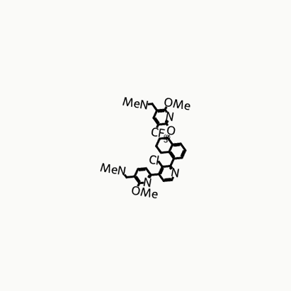 CNCc1ccc(-c2ccnc(-c3cccc4c3CCC[C@@H]4Oc3nc(OC)c(CNC)cc3C(F)(F)F)c2Cl)nc1OC